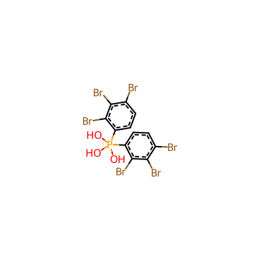 OP(O)(O)(c1ccc(Br)c(Br)c1Br)c1ccc(Br)c(Br)c1Br